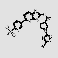 CC(C)c1noc(N2CCC([C@H](C)Oc3nc4ccc(-c5ccc(S(C)(=O)=O)nc5)nc4s3)C2)n1